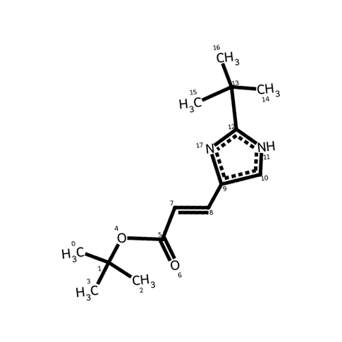 CC(C)(C)OC(=O)/C=C/c1c[nH]c(C(C)(C)C)n1